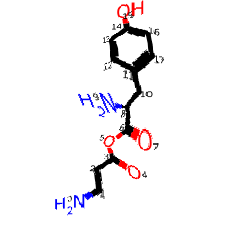 NCCC(=O)OC(=O)[C@@H](N)Cc1ccc(O)cc1